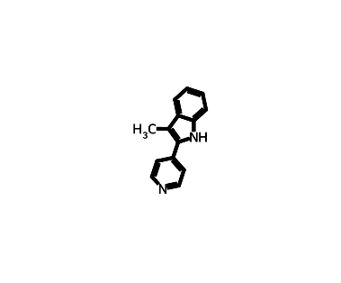 Cc1c(-c2ccncc2)[nH]c2ccccc12